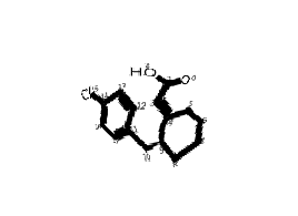 O=C(O)C=C1CCCC[C@H]1Cc1ccc(Cl)cc1